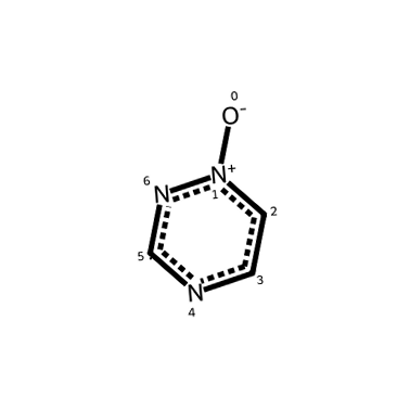 [O-][n+]1ccn[c]n1